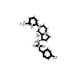 O=S(=O)(Cc1ccc(Cl)cc1)N[C@@H]1CCN2CCN(c3cccc(C(F)(F)F)n3)C[C@H]12